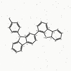 Cc1ccc(-n2c3ccccc3c3ccc(-c4cccc5c4OC4C=CC=CC54)cc32)cc1